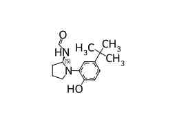 CC(C)(C)c1ccc(O)c(N2CCC[C@H]2NC=O)c1